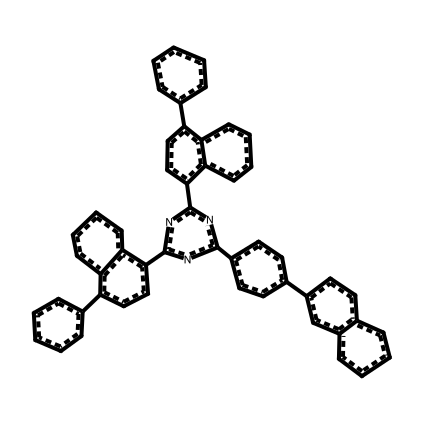 c1ccc(-c2ccc(-c3nc(-c4ccc(-c5ccc6ccccc6c5)cc4)nc(-c4ccc(-c5ccccc5)c5ccccc45)n3)c3ccccc23)cc1